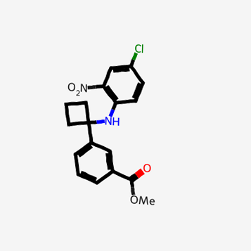 COC(=O)c1cccc(C2(Nc3ccc(Cl)cc3[N+](=O)[O-])CCC2)c1